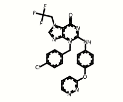 O=c1nc(Nc2ccc(Oc3cccnn3)cc2)n(Cc2ccc(Cl)cc2)c2ncn(CC(F)(F)F)c12